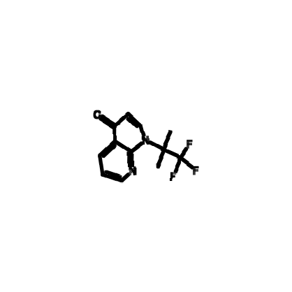 CC(C)(n1ccc(=O)c2cccnc21)C(F)(F)F